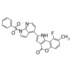 Cc1ccc2oc(=O)c3cc(-c4ccnc5c4ccn5S(=O)(=O)c4ccccc4)[nH]c3c2c1F